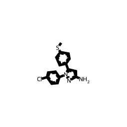 CSc1ccc(-c2cc(N)nn2-c2ccc(Cl)cc2)cc1